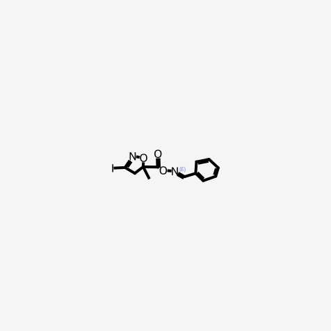 CC1(C(=O)O/N=C/c2ccccc2)CC(I)=NO1